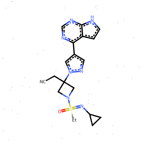 CC[S@@](=O)(=NC1CC1)N1CC(CC#N)(n2cc(-c3ncnc4[nH]ccc34)cn2)C1